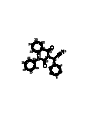 N#CC(c1ccccc1)N(C(=O)Nc1ccccc1)C(=O)c1ccccc1